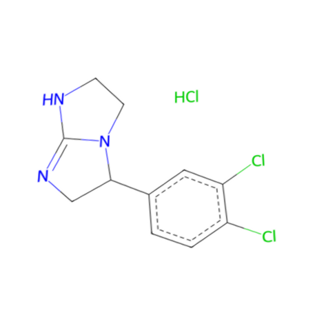 Cl.Clc1ccc(C2CN=C3NCCN32)cc1Cl